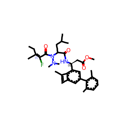 CC/C(C)=C(/F)C(=O)N(C(CC(C)C)C(=O)N[C@@H](CC(=O)OC)c1cc(-c2c(C)cccc2C)cc2c1C(C)=C2)N(C)C